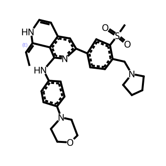 C/C=C1/NC=Cc2cc(-c3ccc(CN4CCCC4)c(S(C)(=O)=O)c3)nc(Nc3ccc(N4CCOCC4)cc3)c21